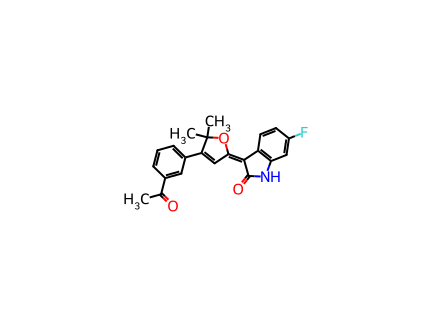 CC(=O)c1cccc(C2=C/C(=C3\C(=O)Nc4cc(F)ccc43)OC2(C)C)c1